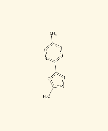 Cc1ccc(-c2cnc(C)o2)nc1